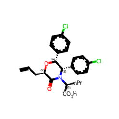 C=CC[C@H]1O[C@H](c2ccc(Cl)cc2)[C@H](c2ccc(Cl)cc2)N([C@@H](CCC)C(=O)O)C1=O